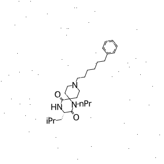 CCCN1C(=O)[C@H](CC(C)C)NC(=O)C12CCN(CCCCCCc1ccccc1)CC2